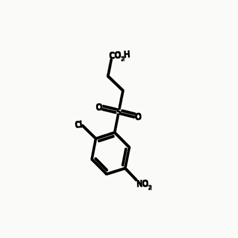 O=C(O)CCS(=O)(=O)c1cc([N+](=O)[O-])ccc1Cl